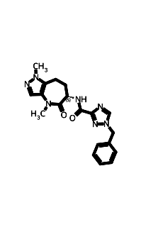 CN1C(=O)[C@@H](NC(=O)c2ncn(Cc3ccccc3)n2)CCc2c1cnn2C